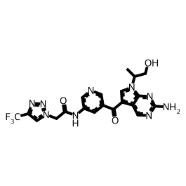 CC(CO)n1cc(C(=O)c2cncc(NC(=O)Cn3cc(C(F)(F)F)nn3)c2)c2cnc(N)nc21